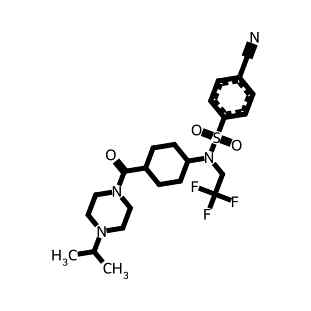 CC(C)N1CCN(C(=O)C2CCC(N(CC(F)(F)F)S(=O)(=O)c3ccc(C#N)cc3)CC2)CC1